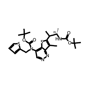 Cc1c(C(C)[C@H](C)NC(=O)OC(C)(C)C)sc2c(N(Cc3cccs3)C(=O)OC(C)(C)C)cnnc12